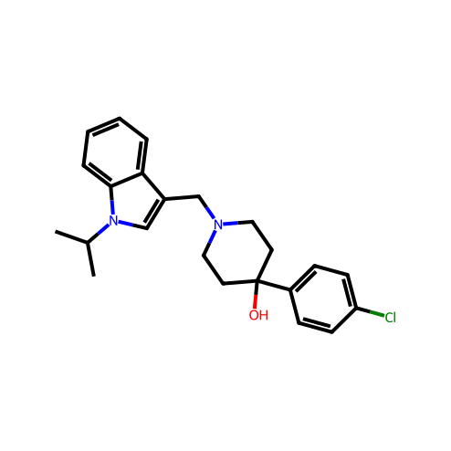 CC(C)n1cc(CN2CCC(O)(c3ccc(Cl)cc3)CC2)c2ccccc21